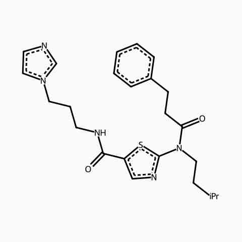 CC(C)CCN(C(=O)CCc1ccccc1)c1ncc(C(=O)NCCCn2ccnc2)s1